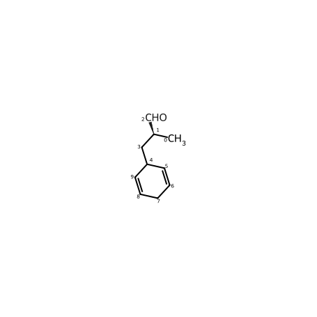 C[C@H](C=O)CC1C=CCC=C1